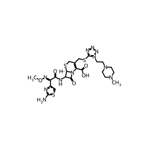 CO/N=C(/C(=O)NC1C(=O)N2C(C(=O)O)=C(CSc3nnnn3CCN3CCN(C)CC3)CS[C@H]12)c1csc(N)n1